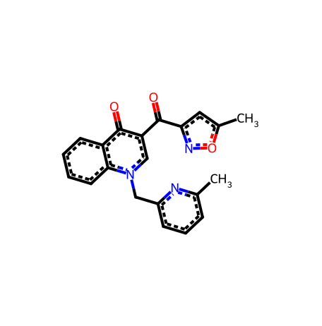 Cc1cccc(Cn2cc(C(=O)c3cc(C)on3)c(=O)c3ccccc32)n1